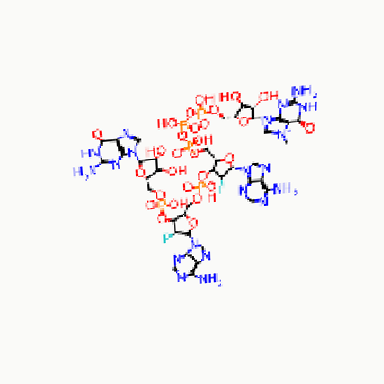 C[n+]1cn([C@@H]2O[C@H](COP(=O)(O)OP(=O)(O)OP(=O)(O)OC[C@H]3O[C@@H](n4cnc5c(N)ncnc54)[C@@H](F)C3OP(=O)(O)OC[C@H]3O[C@@H](n4cnc5c(N)ncnc54)[C@@H](F)C3OP(=O)(O)OC[C@H]3O[C@@H](n4cnc5c(=O)[nH]c(N)nc54)[C@@H](O)C3O)C(O)[C@@H]2O)c2nc(N)[nH]c(=O)c21